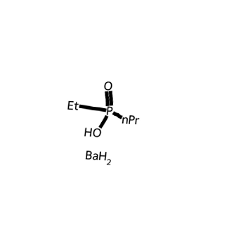 CCCP(=O)(O)CC.[BaH2]